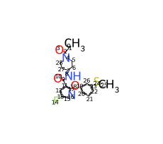 CCC(=O)N1CCC(NC(=O)c2cc(F)cnc2Oc2cccc(SC)c2)CC1